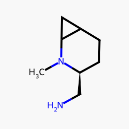 CN1C2CC2CC[C@H]1CN